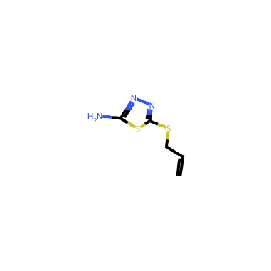 C=CCSc1nnc(N)s1